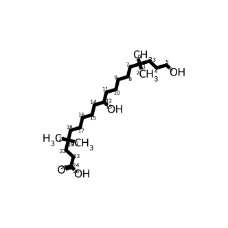 CC(C)(CCCO)CCCCCC(O)CCCCCC(C)(C)CCC(=O)O